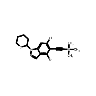 C[Si](C)(C)C#Cc1c(Cl)cc2c(cnn2C2CCCCO2)c1Br